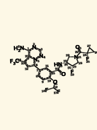 Nc1ncnn2c(-c3ccc(OC(F)F)c(C(=O)N[C@@H]4CN(C(=O)C5(F)CC5)C[C@@H]4F)c3)cc(C(F)(F)F)c12